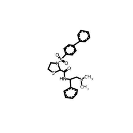 CN(C)CC(NC(=O)C1SCCN1S(=O)(=O)c1ccc(-c2ccccc2)cc1)c1ccccc1